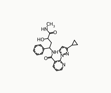 CNC(=O)C(O)CC(NC(=O)c1cccnc1-n1ccc(C2CC2)n1)c1ccccc1